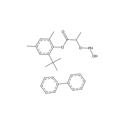 Cc1cc(C)c(OC(=O)C(C)OPO)c(C(C)(C)C)c1.c1ccc(-c2ccccc2)cc1